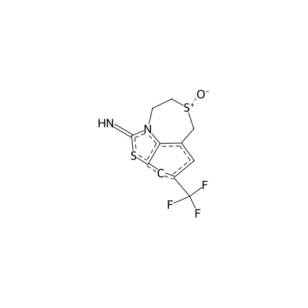 N=c1sc2cc(C(F)(F)F)cc3c2n1CC[S@+]([O-])C3